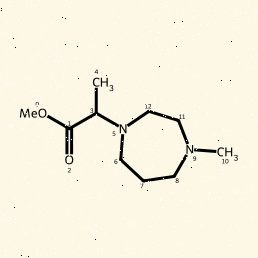 COC(=O)C(C)N1CCCN(C)CC1